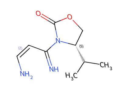 CC(C)[C@H]1COC(=O)N1C(=N)/C=C\N